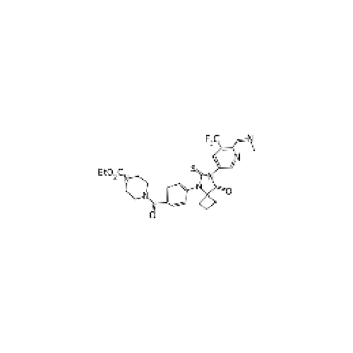 CCOC(=O)N1CCN(C(=O)c2ccc(N3C(=S)N(c4cnc(/C=N\C)c(C(F)(F)F)c4)C(=O)C34CCC4)cc2)CC1